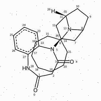 O=C1CC(=O)N([C@@H]2CC3CC[C@@H](C2)N3C2CCCCCCC2)c2ccccc2N1